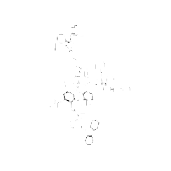 CC(C)(C)OC(=O)NCCCCC(C=O)NC(=O)C(CCCNC(=O)OC(C)(C)C)NCc1cccnc1Sc1cccc(Br)c1CNC(=O)OCC1c2ccccc2-c2ccccc21